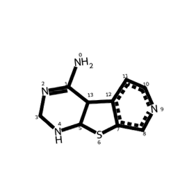 NC1=NCNC2Sc3cnccc3C12